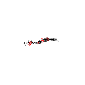 C=C(C)C(=O)OCCCCCCOc1ccc(C(=O)Oc2ccc(C(=O)OCCCCCC)cc2)cc1